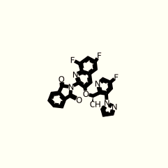 C[C@H](Oc1cc2cc(F)cc(F)c2nc1N1C(=O)c2ccccc2C1=O)c1ncc(F)cc1-n1cccn1